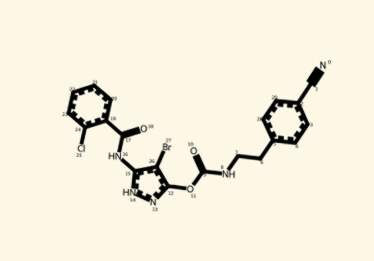 N#Cc1ccc(CCNC(=O)Oc2n[nH]c(NC(=O)c3ccccc3Cl)c2Br)cc1